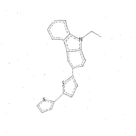 CCn1c2ccccc2c2cc(-c3ccc(-c4cccs4)s3)ccc21